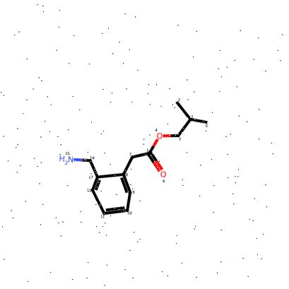 CC(C)COC(=O)Cc1ccccc1CN